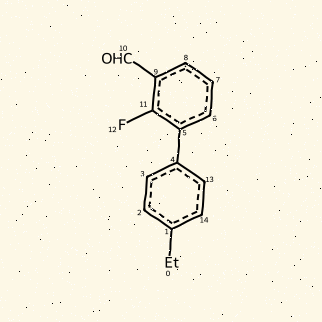 CCc1ccc(-c2cc[c]c(C=O)c2F)cc1